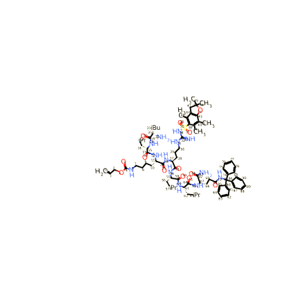 C=CCOC(=O)NCCCC[C@H](NC(=O)[C@H](CC(C)C)NC(=O)[C@@H](N)[C@@H](C)CC)C(=O)N[C@@H](CCCNC(=N)NS(=O)(=O)c1c(C)c(C)c2c(c1C)CC(C)(C)O2)C(=O)N[C@@H](CC(C)C)C(=O)N[C@@H](CC(C)C)C(=O)N[C@@H](CCC(=O)NC(c1ccccc1)(c1ccccc1)c1ccccc1)C(N)=O